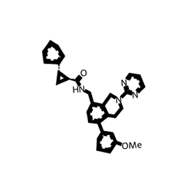 COc1cccc(-c2ccc(CNC(=O)[C@H]3C[C@@H]3c3ccccc3)c3c2CCN(c2ncccn2)C3)c1